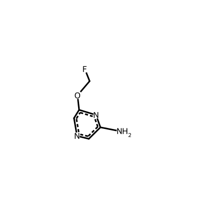 Nc1cncc(OCF)n1